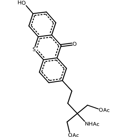 CC(=O)NC(CCc1ccc2sc3cc(O)ccc3c(=O)c2c1)(COC(C)=O)COC(C)=O